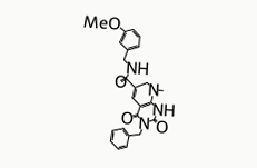 COc1cccc(CNC(=O)C2=Cc3c([nH]c(=O)n(Cc4ccccc4)c3=O)N(C)C2)c1